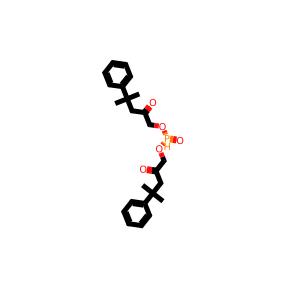 CC(C)(CC(=O)CO[PH](=O)OCC(=O)CC(C)(C)c1ccccc1)c1ccccc1